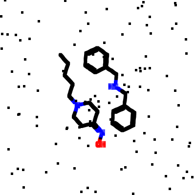 CCCCCN1CCC(=NO)CC1.c1ccc(CNCc2ccccc2)cc1